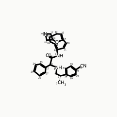 C[C@H](CNC(C(=O)NC1=C\CCC/C=C(OC2CNC2)/C=C\1)c1ccccc1)c1ccc(C#N)cc1